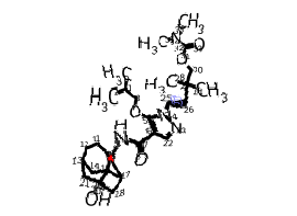 CC(C)COc1c(C(=O)N[C@@H]2C3CC4CC5(C3)C2C[C@@]5(O)C4)cnn1/C=C/C(C)(C)COC(=O)N(C)C